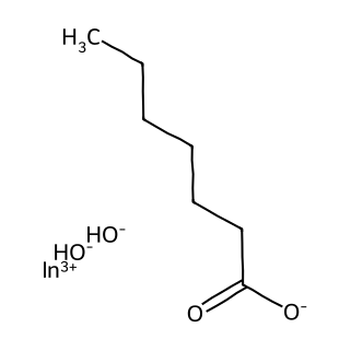 CCCCCCC(=O)[O-].[In+3].[OH-].[OH-]